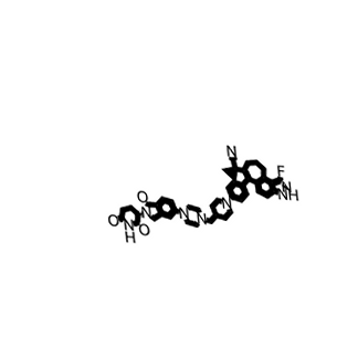 N#CC1(C2=C(c3ccc(N4CCC(CN5CCN(c6ccc7c(c6)CN([C@H]6CCC(=O)NC6=O)C7=O)CC5)CC4)cc3)c3ccc4[nH]nc(F)c4c3CCC2)CC1